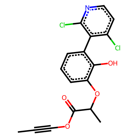 CC#COC(=O)C(C)Oc1cccc(-c2c(Cl)ccnc2Cl)c1O